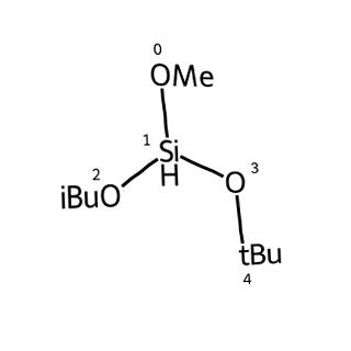 CO[SiH](OCC(C)C)OC(C)(C)C